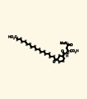 CNC(=O)C[C@@H](NC(=O)C1CCCN(C(=O)CCCCCCCCCCCCCCCCC(=O)O)C1)C(=O)O